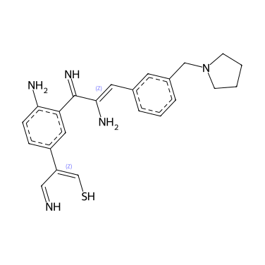 N=C/C(=C\S)c1ccc(N)c(C(=N)/C(N)=C/c2cccc(CN3CCCC3)c2)c1